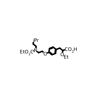 CCOC(=O)N(CCOc1ccc(CC(OCC)C(=O)O)cc1)CCC(C)C